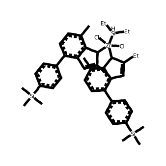 CCC1=Cc2c(-c3ccc([Si](C)(C)C)cc3)ccc(C)c2[CH]1[Zr]([Cl])([Cl])([CH]1C(C)=Cc2c(-c3ccc([Si](C)(C)C)cc3)ccc(C)c21)[SiH](CC)CC